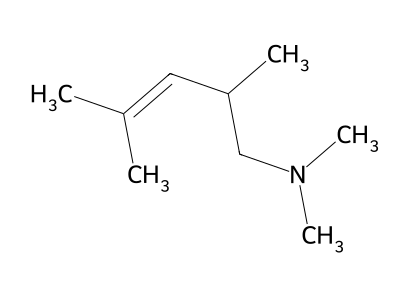 CC(C)=CC(C)CN(C)C